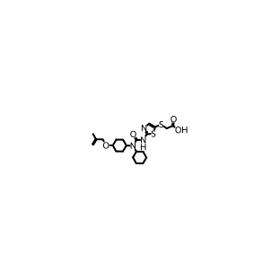 C=C(C)COC1CCC(N(C(=O)Nc2ncc(SCC(=O)O)s2)C2CCCCC2)CC1